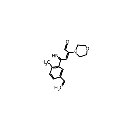 C=Cc1ccc(C)c(C(=N)/C=C(\C=O)N2CCOCC2)c1